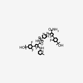 Cc1cccc(Nc2sc(-c3c(F)cc(C(C)(C)O)cc3F)cc2C(=O)NS(=O)(=O)c2ccc(Nc3sc(-c4ccc(C(C)(C)O)cc4F)cc3C(N)=O)nc2)n1